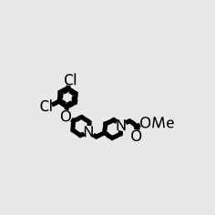 COC(=O)CN1CCC(CN2CCC(Oc3ccc(Cl)cc3Cl)CC2)CC1